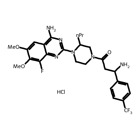 CCCC1CN(C(=O)CC(N)c2ccc(C(F)(F)F)cc2)CCN1c1nc(N)c2cc(OC)c(OC)c(F)c2n1.Cl